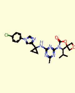 Cc1nc(NC2(c3cn(-c4ccc(Cl)cc4)cn3)CC2)nc(N2C(=O)OC3(COC3)C2C(C)C)n1